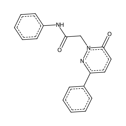 O=C(Cn1nc(-c2ccccc2)ccc1=O)Nc1ccccc1